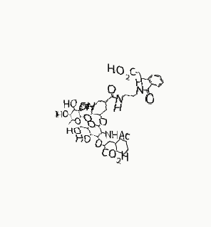 CCC1CC(C(=O)NCCNC(=O)c2ccccc2CCC(=O)O)C[C@@H](O[C@@H]2OC(CO)[C@H](O)C(O[C@@H](CC3CCCCC3)C(=O)O)C2NC(C)=O)C1O[C@@H]1OC(C)[C@@H](O)C(O)C1O